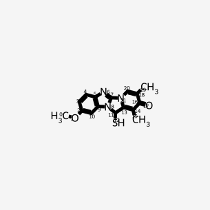 COc1ccc2nc3n(c2c1)C(S)c1c(C)c(=O)c(C)cn1-3